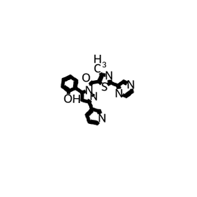 Cc1nc(-c2cnccn2)sc1C(=O)N1N=C(c2cccnc2)CC1c1ccccc1O